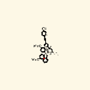 COc1ccc([N+](Cc2ccccc2)(C2=N[C@](C)(c3cc(C#Cc4ccc(C#N)cn4)cs3)C[C@@H](C(F)(F)F)O2)c2ccc(OC)cc2)cc1